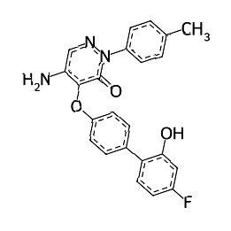 Cc1ccc(-n2ncc(N)c(Oc3ccc(-c4ccc(F)cc4O)cc3)c2=O)cc1